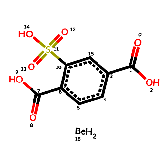 O=C(O)c1ccc(C(=O)O)c(S(=O)(=O)O)c1.[BeH2]